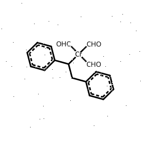 O=[CH][Cr]([CH]=O)([CH]=O)[CH](Cc1ccccc1)c1ccccc1